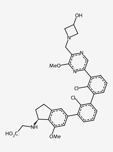 COc1cc(-c2cccc(-c3cccc(-c4cnc(CN5CC(O)C5)c(OC)n4)c3Cl)c2Cl)cc2c1[C@@H](NCC(=O)O)CC2